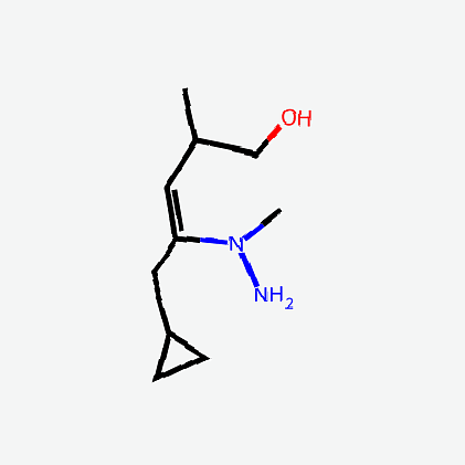 CC(/C=C(/CC1CC1)N(C)N)CO